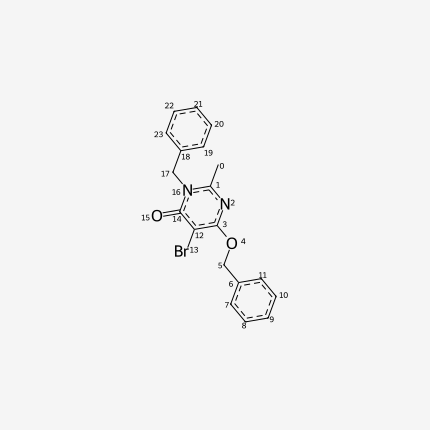 Cc1nc(OCc2ccccc2)c(Br)c(=O)n1Cc1ccccc1